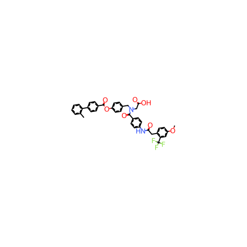 COc1ccc(CC(=O)Nc2ccc(C(=O)N(CC(=O)O)Cc3ccc(OC(=O)c4ccc(-c5ccccc5C)cc4)cc3)cc2)c(C(F)(F)F)c1